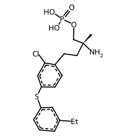 CCc1cccc(Sc2ccc(CC[C@@](C)(N)COP(=O)(O)O)c(Cl)c2)c1